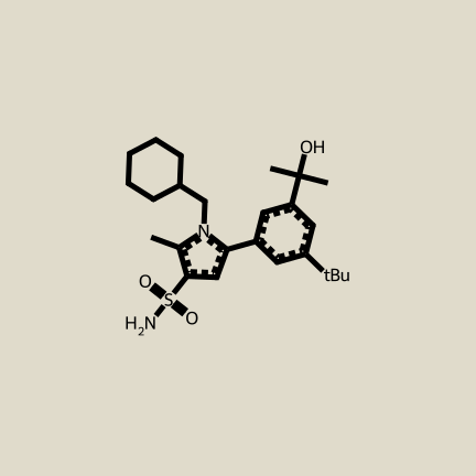 Cc1c(S(N)(=O)=O)cc(-c2cc(C(C)(C)C)cc(C(C)(C)O)c2)n1CC1CCCCC1